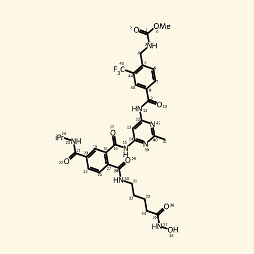 COC(=O)NCc1ccc(C(=O)Nc2cc(NC(=O)c3cc(C(=O)NC(C)C)ccc3C(=O)NCCCCC(=O)NO)nc(C)n2)cc1C(F)(F)F